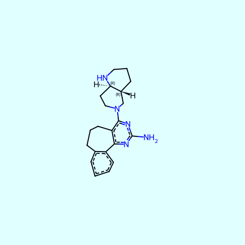 Nc1nc2c(c(N3CC[C@H]4NCCC[C@@H]4C3)n1)CCCc1ccccc1-2